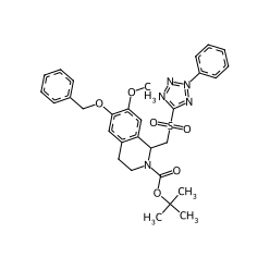 COc1cc2c(cc1OCc1ccccc1)CCN(C(=O)OC(C)(C)C)C2CS(=O)(=O)c1nnn(-c2ccccc2)n1